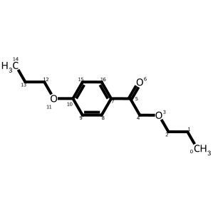 CCCOCC(=O)c1ccc(OCCC)cc1